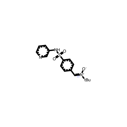 CC(C)(C)/[N+]([O-])=C/c1ccc(S(=O)(=O)Nc2cccnc2)cc1